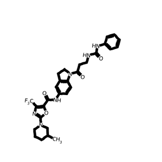 CC1CCCN(c2nc(C(F)(F)F)c(C(=O)Nc3ccc4c(c3)CCN4C(=O)CCNC(=O)Nc3ccccc3)o2)C1